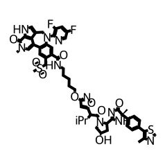 Cc1ncsc1-c1ccc([C@]2(C)NC(C3C[C@@H](O)CN3C(=O)C(c3cc(OCCCCCNC(=O)c4cc5c(cc4CS(C)(=O)=O)-c4cn(C)c(=O)c6[nH]cc(c46)CN5c4ncc(F)cc4F)no3)C(C)C)=NC2=O)cc1